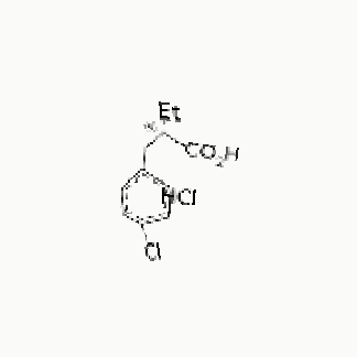 CC[C@@H](Cc1ccc(Cl)cc1)C(=O)O.Cl